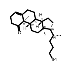 CC(C)CCC[C@@H](C)[C@H]1CC[C@H]2[C@@H]3CCC4=CCCC(=O)[C@]4(C)[C@H]3CC[C@]12C